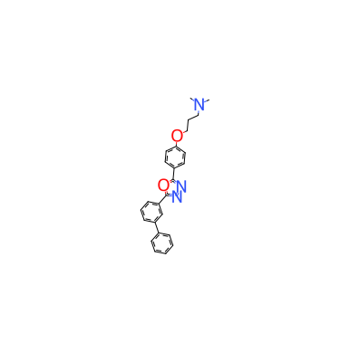 CN(C)CCCOc1ccc(-c2nnc(-c3cccc(-c4ccccc4)c3)o2)cc1